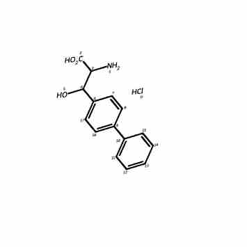 Cl.NC(C(=O)O)C(O)c1ccc(-c2ccccc2)cc1